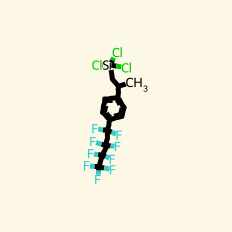 CC(C[Si](Cl)(Cl)Cl)c1ccc(C(F)(F)C(F)(F)C(F)(F)C(F)(F)F)cc1